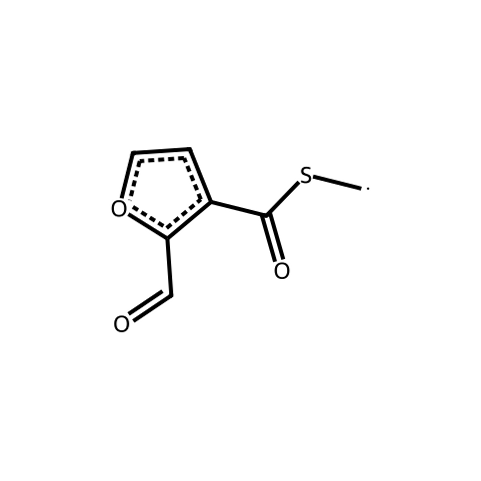 [CH2]SC(=O)c1ccoc1C=O